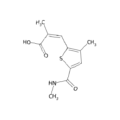 CNC(=O)c1cc(C)c(C=C(C)C(=O)O)s1